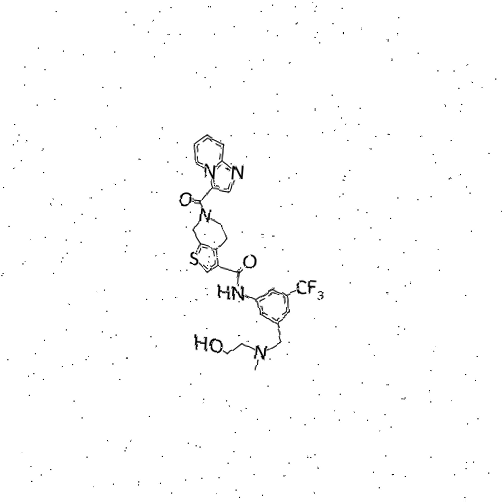 CN(CCO)Cc1cc(NC(=O)c2csc3c2CCN(C(=O)c2cnc4ccccn24)C3)cc(C(F)(F)F)c1